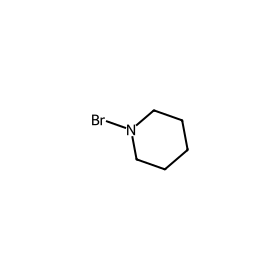 BrN1CCCCC1